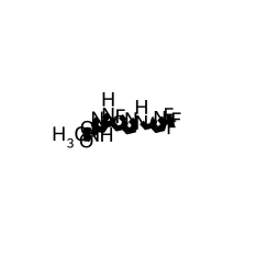 CS(=O)(=O)Nc1cnc2[nH]cc(Cc3ccc(NCc4ccc(C(F)(F)F)nc4)nc3F)c2c1